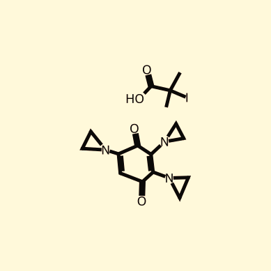 CC(C)(I)C(=O)O.O=C1C=C(N2CC2)C(=O)C(N2CC2)=C1N1CC1